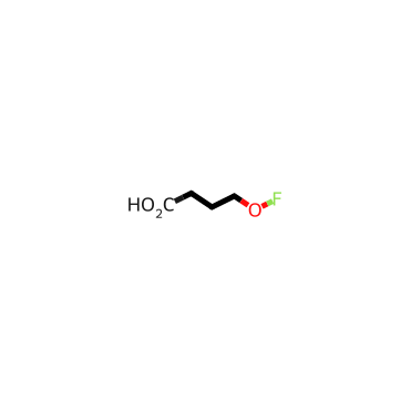 O=C(O)CCCOF